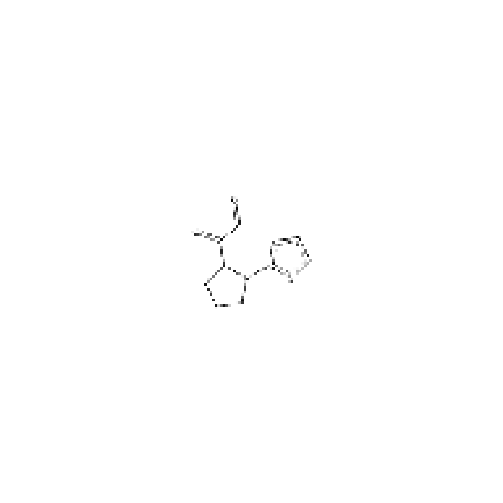 O=CC(=O)C1CCCN1c1cccs1